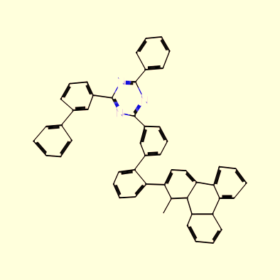 CC1C(c2ccccc2-c2cccc(-c3nc(-c4ccccc4)nc(-c4cccc(-c5ccccc5)c4)n3)c2)=CC=C2c3ccccc3C3C=CC=CC3C21